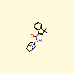 CN1C2CCC1CC(NC(=O)C1=CC(C)(C)c3ccccc31)C2